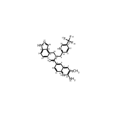 Cc1cc2cc(C(=O)N(Cc3ccc(C(F)(F)F)cn3)Cc3cccc4[nH]ncc34)ccc2nc1N